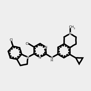 CN1CCc2c(cc(Nc3ncc(Cl)c(N4CCc5ccc(Cl)cc54)n3)cc2C2CC2)C1